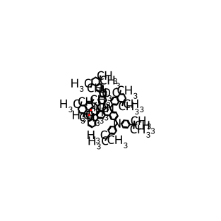 Cc1cc2c(cc1N1c3cc4c(cc3B3c5c(cc6c(c51)C(C)(C)c1ccccc1-6)-c1cc(N(c5ccc(C(C)(C)C)cc5)c5ccc(C(C)(C)C)cc5)ccc1N3c1ccc3c(c1)C(C)(C)CCC3(C)C)oc1cc3c(cc14)C(C)(C)CCC3(C)C)C(C)(C)CCC2(C)C